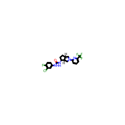 O=C(Nc1ccc(F)c(Cl)c1)N[C@H]1CC[C@@H]2CN(c3cccc(C(F)(F)F)n3)C[C@@H]21